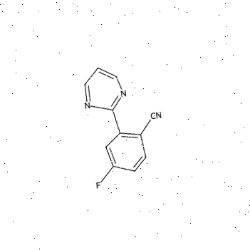 N#Cc1ccc(F)cc1-c1ncccn1